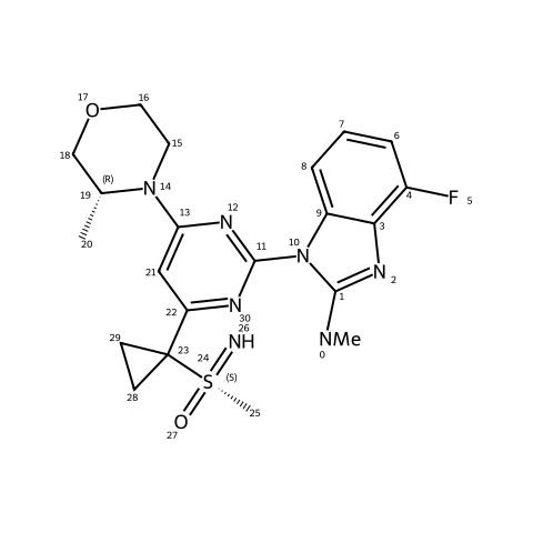 CNc1nc2c(F)cccc2n1-c1nc(N2CCOC[C@H]2C)cc(C2([S@@](C)(=N)=O)CC2)n1